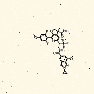 COc1cc(F)c(-c2nc([C@@H](CNC(=O)c3cc(OC)c4nn(C5CC5)cc4c3)C(F)(F)F)cc3c2OC[C@]3(C)C(N)=O)c(F)c1